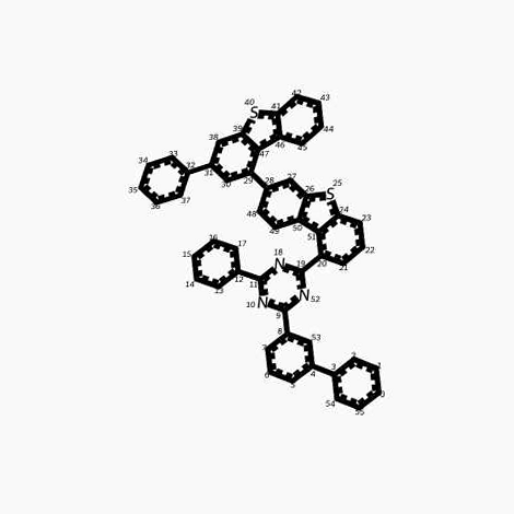 c1ccc(-c2cccc(-c3nc(-c4ccccc4)nc(-c4cccc5sc6cc(-c7cc(-c8ccccc8)cc8sc9ccccc9c78)ccc6c45)n3)c2)cc1